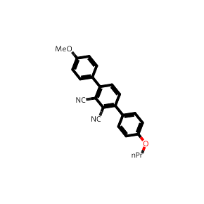 CCCOc1ccc(-c2ccc(-c3ccc(OC)cc3)c(C#N)c2C#N)cc1